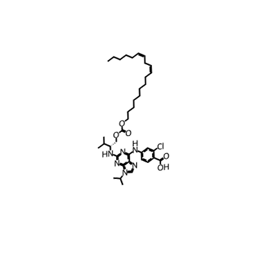 CCCCC/C=C\C/C=C\CCCCCCCCOC(=O)OC[C@H](Nc1nc(Nc2ccc(C(=O)O)c(Cl)c2)c2ncn(C(C)C)c2n1)C(C)C